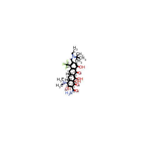 CCN(Cc1cc(O)c2c(c1C(F)(F)F)C[C@H]1C[C@H]3[C@H](N(C)C)C(O)=C(C(N)=O)C(=O)[C@@]3(O)C(O)=C1C2=O)C(C)(C)C